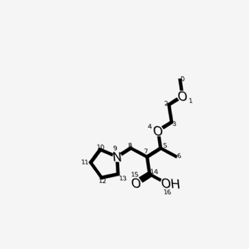 COCCOC(C)C(CN1CCCC1)C(=O)O